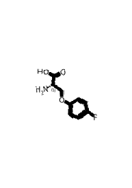 N[C@@H](COc1ccc(F)cc1)C(=O)O